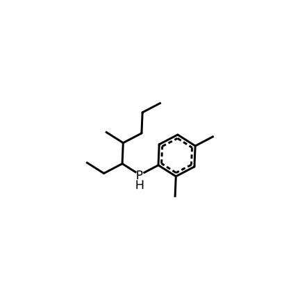 CCCC(C)C(CC)Pc1ccc(C)cc1C